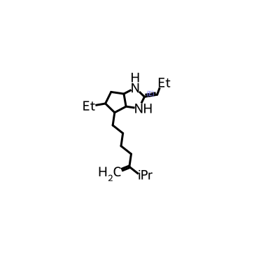 C=C(CCCCC1C(CC)CC2N/C(=C\CC)NC21)C(C)C